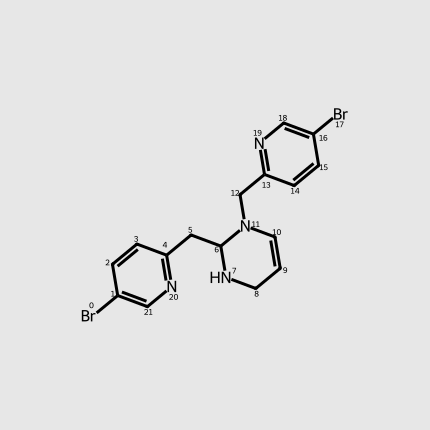 Brc1ccc(CC2NCC=CN2Cc2ccc(Br)cn2)nc1